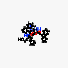 O=C(N[C@@H](Cc1ccccc1)C(=O)N[C@@H](C(=O)N[C@@H](Cc1ccccc1)C(=O)O)c1ccccc1)OCC1c2ccccc2-c2ccccc21